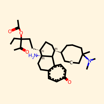 CCC(CC[C@@H]1CC[C@H](C2CCCC(C)(N(C)C)CCC2)C2c3ccc(=O)ccc3CC[C@]21N)(OC(C)=O)C(C)=O